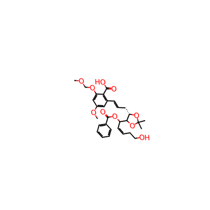 COCOc1cc(OC)cc(/C=C/C[C@@H]2OC(C)(C)OC2C(/C=C\CCO)OC(=O)c2ccccc2)c1C(=O)O